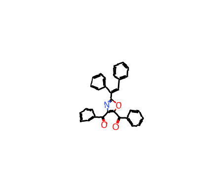 O=C(c1ccccc1)c1nc(C(=Cc2ccccc2)c2ccccc2)oc1C(=O)c1ccccc1